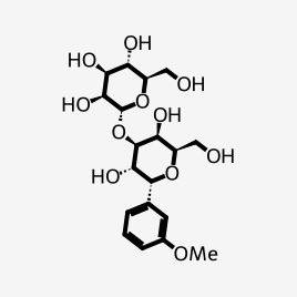 COc1cccc([C@H]2O[C@H](CO)[C@H](O)[C@H](O[C@H]3O[C@H](CO)[C@@H](O)[C@H](O)[C@@H]3O)[C@H]2O)c1